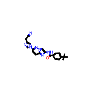 CC(C)(C)c1ccc(C(=O)Nc2cn3nc(-n4cnc(CC#N)c4)ccc3n2)cc1